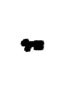 c1ccc(-c2nc(-c3ccc(-c4ccc5c(c4)C(c4ccccc4)(c4ccccc4)c4ccccc4-5)cc3)nc(-c3cccc4ccccc34)n2)cc1